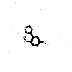 CCOc1ccc(OCC)c(C2CSC=N2)c1